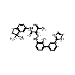 CC(=N)/C(=N/Nc1cccc(-c2cccc(-c3ncn[nH]3)c2)c1O)C(=O)Nc1ccc2c(c1)C(C)(C)CC2